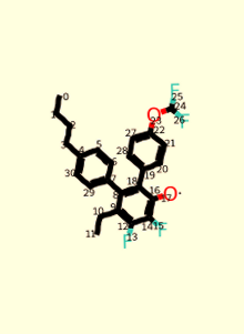 CCCCc1ccc(-c2c(CC)c(F)c(F)c([O])c2-c2ccc(OC(F)F)cc2)cc1